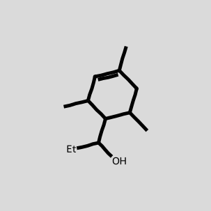 CCC(O)C1C(C)C=C(C)CC1C